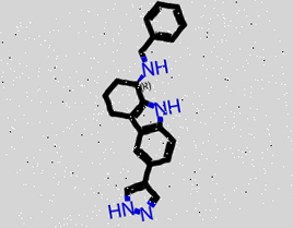 c1ccc(CN[C@@H]2CCCc3c2[nH]c2ccc(-c4cn[nH]c4)cc32)cc1